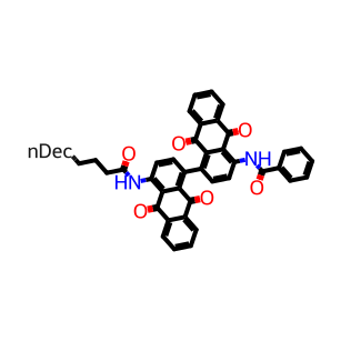 CCCCCCCCCCCCCC(=O)Nc1ccc(-c2ccc(NC(=O)c3ccccc3)c3c2C(=O)c2ccccc2C3=O)c2c1C(=O)c1ccccc1C2=O